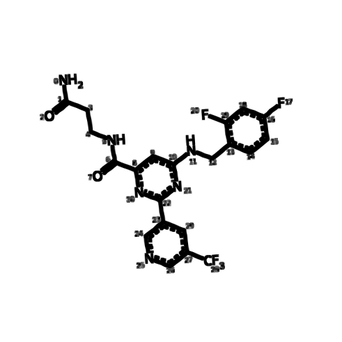 NC(=O)CCNC(=O)c1cc(NCc2ccc(F)cc2F)nc(-c2cncc(C(F)(F)F)c2)n1